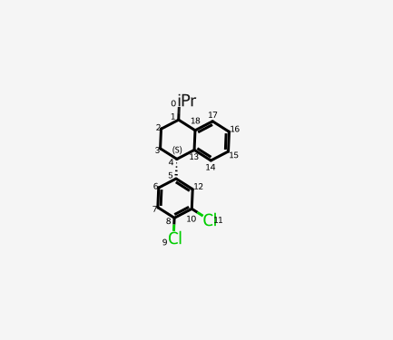 CC(C)C1CC[C@@H](c2ccc(Cl)c(Cl)c2)c2ccccc21